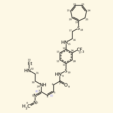 C=N/N=C(\C=C/CC(=O)NSc1ccc(NCCSC2=CC=CC=CC2)c(C(F)(F)F)c1)NCCNCC